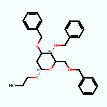 N#CCCO[C@@H]1CC(OCc2ccccc2)[C@H](OCc2ccccc2)C(COCc2ccccc2)O1